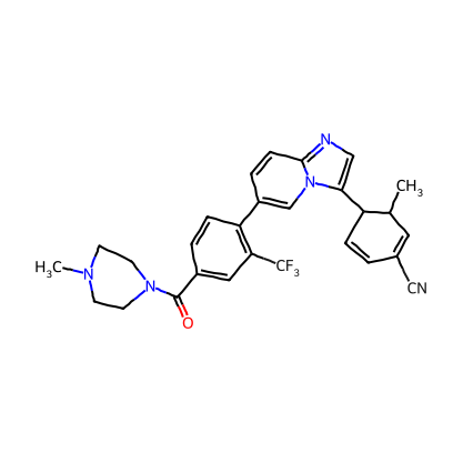 CC1C=C(C#N)C=CC1c1cnc2ccc(-c3ccc(C(=O)N4CCN(C)CC4)cc3C(F)(F)F)cn12